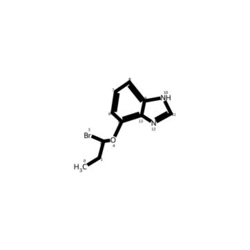 CCC(Br)Oc1cccc2[nH]cnc12